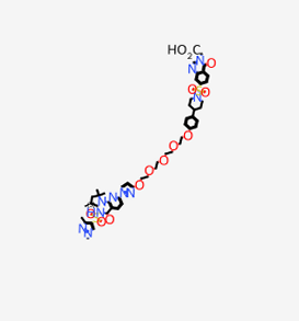 Cc1nn(C)cc1S(=O)(=O)NC(=O)c1ccc(-n2ccc(OCCOCCOCCOCCOc3ccc(C4CCN(S(=O)(=O)c5ccc6c(=O)n(CC(=O)O)cnc6c5)CC4)cc3)n2)nc1N1C[C@@H](C)CC1(C)C